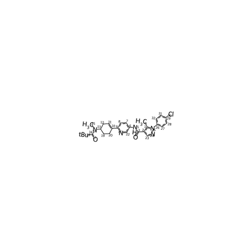 Cc1c(C(=O)Nc2ccc(C3=CCC(N(C)C(=O)C(C)(C)C)CC3)nc2)cnn1-c1ccc(Cl)cc1